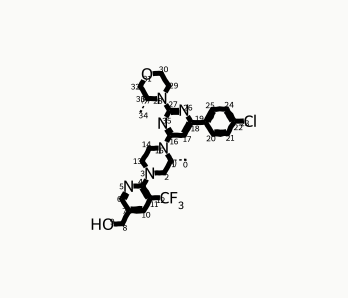 C[C@@H]1CN(c2ncc(CO)cc2C(F)(F)F)CCN1c1cc(-c2ccc(Cl)cc2)nc(N2CCOC[C@H]2C)n1